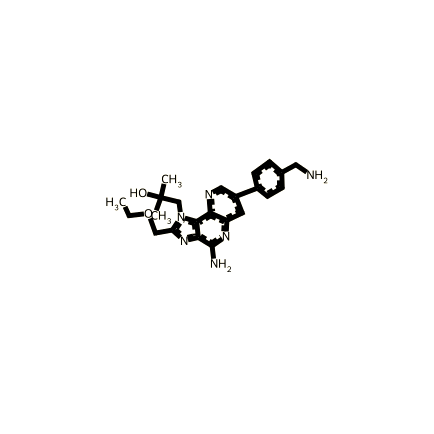 CCOCc1nc2c(N)nc3cc(-c4ccc(CN)cc4)cnc3c2n1CC(C)(C)O